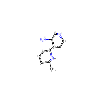 Cc1cccc(-c2ccn[c]c2N)n1